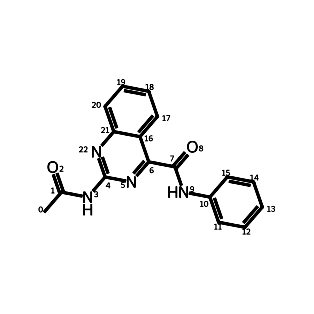 CC(=O)Nc1nc(C(=O)Nc2ccccc2)c2ccccc2n1